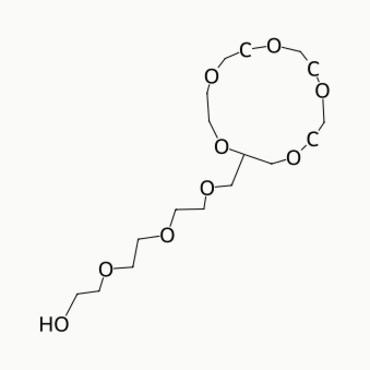 OCCOCCOCCOCC1COCCOCCOCCOCCO1